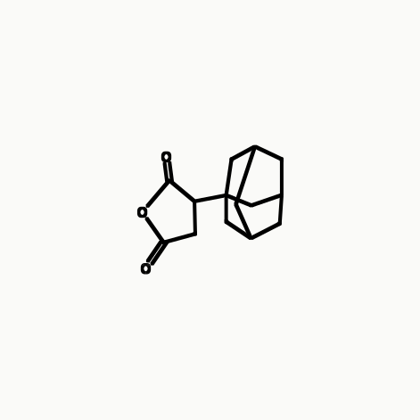 O=C1CC(C23CC4CC(CC(C4)C2)C3)C(=O)O1